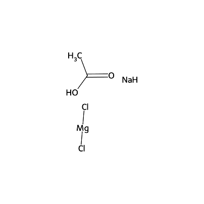 CC(=O)O.[Cl][Mg][Cl].[NaH]